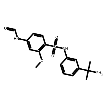 COc1cc(NC=O)ccc1S(=O)(=O)Nc1cccc(C(C)(C)P)c1